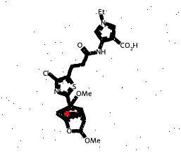 CCn1cc(NC(=O)CCc2sc(-c3cc4c5c(c3OC5OC)OC4OC)nc2Cl)c(C(=O)O)c1